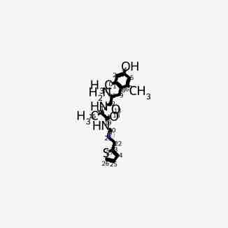 Cc1cc(O)cc(C)c1CC(N)C(=O)N[C@H](C)C(=O)N/C=C/Cc1cccs1